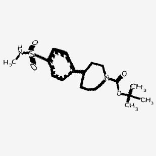 CNS(=O)(=O)c1ccc(C2CCN(C(=O)OC(C)(C)C)CC2)cc1